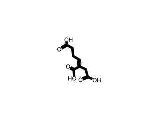 O=C(O)CC/C=C(/CC(=O)O)C(=O)O